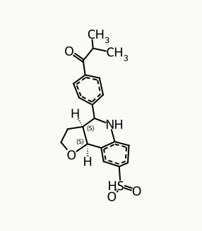 CC(C)C(=O)c1ccc(C2Nc3ccc([SH](=O)=O)cc3[C@H]3OCC[C@@H]23)cc1